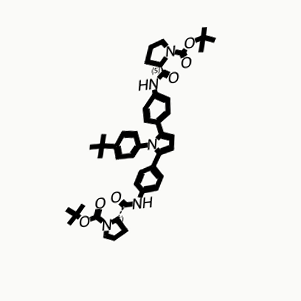 CC(C)(C)OC(=O)N1CCC[C@H]1C(=O)Nc1ccc(-c2ccc(-c3ccc(NC(=O)[C@@H]4CCCN4C(=O)OC(C)(C)C)cc3)n2-c2ccc(C(C)(C)C)cc2)cc1